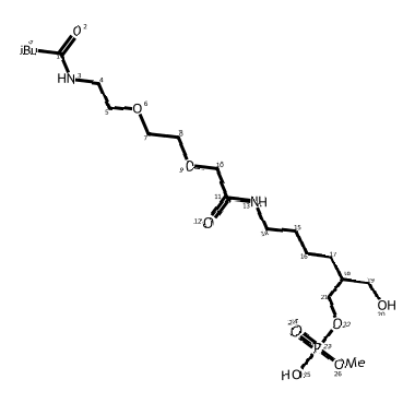 CCC(C)C(=O)NCCOCCOCC(=O)NCCCCC(CO)COP(=O)(O)OC